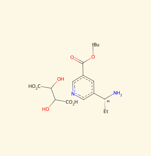 CC[C@@H](N)c1cncc(C(=O)OC(C)(C)C)c1.O=C(O)C(O)C(O)C(=O)O